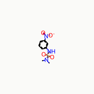 CN(C)S(=O)(=O)Nc1cccc([N+](=O)[O-])c1